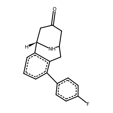 O=C1CC2Cc3c(-c4ccc(F)cc4)cccc3[C@H](C1)N2